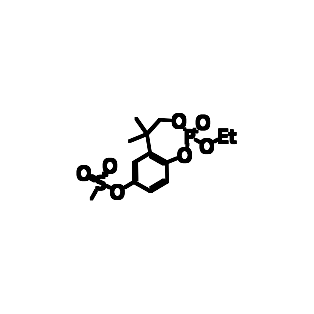 CCOP1(=O)OCC(C)(C)c2cc(OS(C)(=O)=O)ccc2O1